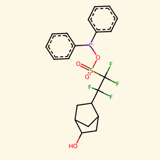 O=S(=O)(O[I+](c1ccccc1)c1ccccc1)C(F)(F)C(F)(F)C1CC2CC1CC2O